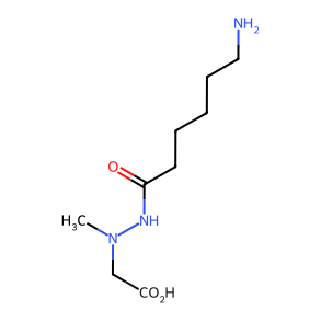 CN(CC(=O)O)NC(=O)CCCCCN